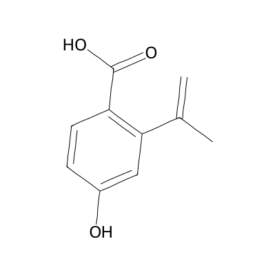 C=C(C)c1cc(O)ccc1C(=O)O